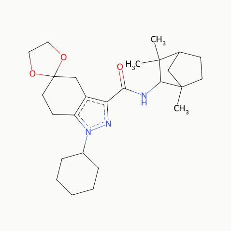 CC12CCC(C1)C(C)(C)C2NC(=O)c1nn(C2CCCCC2)c2c1CC1(CC2)OCCO1